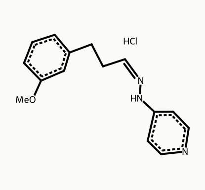 COc1cccc(CC/C=N\Nc2ccncc2)c1.Cl